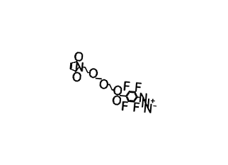 [N-]=[N+]=Nc1c(F)c(F)c(C(=O)OCCOCCOCCN2C(=O)C=CC2=O)c(F)c1F